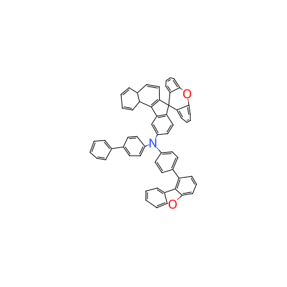 C1=CC2C=CC3=C(c4cc(N(c5ccc(-c6ccccc6)cc5)c5ccc(-c6cccc7oc8ccccc8c67)cc5)ccc4C34c3ccccc3Oc3ccccc34)C2C=C1